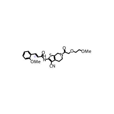 COCCOCC(=O)N1CCc2c(sc(NC(=O)/C=C/c3ccccc3OC)c2C#N)C1